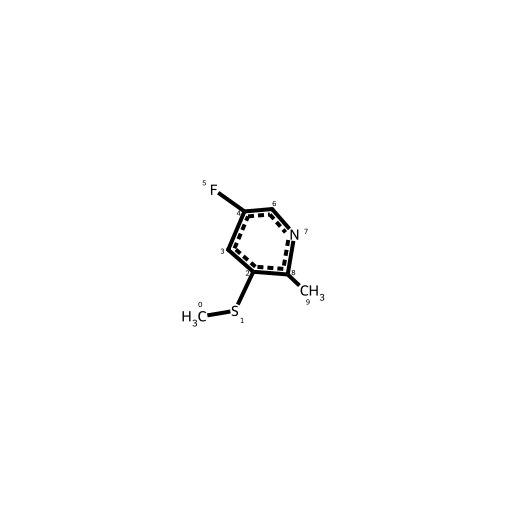 CSc1cc(F)cnc1C